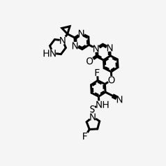 N#Cc1c(NSN2CCC(F)C2)ccc(F)c1Oc1ccc2ncn(-c3cnc(C4(N5CCNCC5)CC4)nc3)c(=O)c2c1